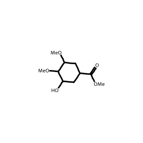 COC(=O)C1CC(O)C(OC)C(OC)C1